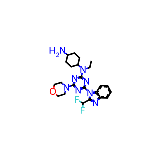 CCN(c1nc(N2CCOCC2)nc(-n2c(C(F)F)nc3ccccc32)n1)C1CCC(N)CC1